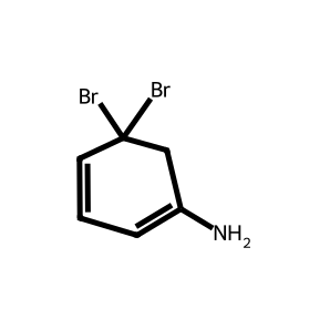 NC1=CC=CC(Br)(Br)C1